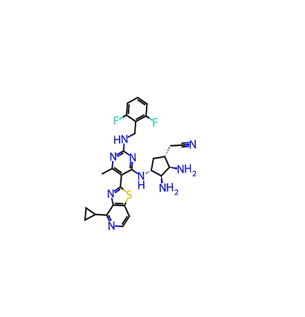 Cc1nc(NCc2c(F)cccc2F)nc(N[C@@H]2C[C@H](CC#N)[C@@H](N)[C@H]2N)c1-c1nc2c(C3CC3)nccc2s1